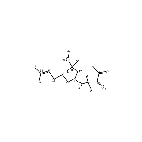 C=C(C)C(=O)C(C)(C)OC(CCCC=C(C)C)CC(C)(C)OC